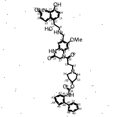 COc1cc2c(cc1CNC[C@H](O)c1ccc(O)c3[nH]c(=O)ccc13)NC(=O)CN2C(=O)CCN1CCC(OC(=O)Nc2ccccc2-c2ccccc2)CC1